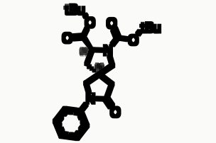 CC(C)(C)OC(=O)[C@@H]1C[C@@]2(CC(=O)N(c3ccccc3)C2)CN1C(=O)OC(C)(C)C